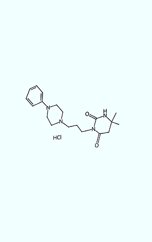 CC1(C)CC(=O)N(CCCN2CCN(c3ccccc3)CC2)C(=O)N1.Cl